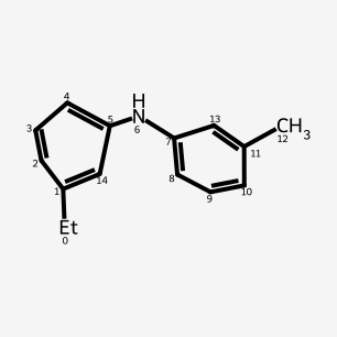 CCc1cccc(Nc2cccc(C)c2)c1